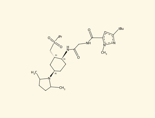 CC1CCC(C)N1[C@@H]1CC[C@H](NC(=O)CNC(=O)c2cc(C(C)(C)C)nn2C)[C@@H](CS(=O)(=O)C(C)C)C1